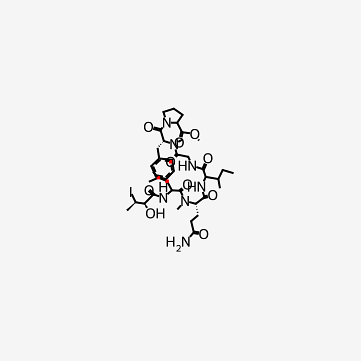 CCC(C)C(NC(=O)[C@H](CCC(N)=O)N(C)C(=O)C(CC(C)C)NC(=O)[C@@H](O)[C@@H](C)I)C(=O)NCC(=O)N(C)[C@H](Cc1ccccc1)C(=O)N1CCCC1C(=O)OC